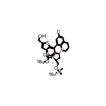 CC(C)(C)OC(=O)N1C[C@H](N2CCCc3cc(Cl)cc(-c4ccnc5cc(CO)sc45)c32)C[C@@]1(C)CO[Si](C)(C)C(C)(C)C